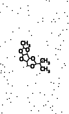 CC1OC2OC3COC(C(C)C)OC3C2O1